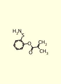 C=C(C)C(=O)Oc1ccccc1SN